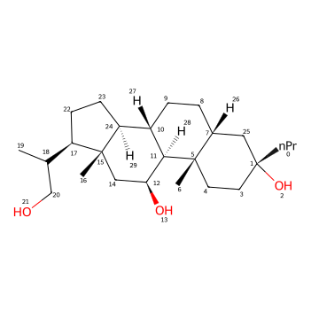 CCC[C@@]1(O)CC[C@@]2(C)[C@H](CC[C@@H]3[C@@H]2[C@@H](O)C[C@]2(C)[C@@H](C(C)CO)CC[C@@H]32)C1